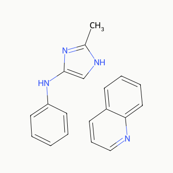 Cc1nc(Nc2ccccc2)c[nH]1.c1ccc2ncccc2c1